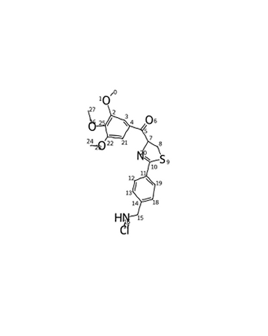 COc1cc(C(=O)C2CSC(c3ccc(CNCl)cc3)=N2)cc(OC)c1OC